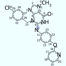 Cn1cnc2c1c(=O)[nH]/c(=N\c1ccc(Oc3ccccn3)cc1)n2Cc1ccc(Cl)cc1